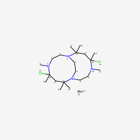 CN1CCN2CCN(CCN(C)C(C)(Cl)CC2(C)C)C(C)(C)CC1(C)Cl.[Mn+2]